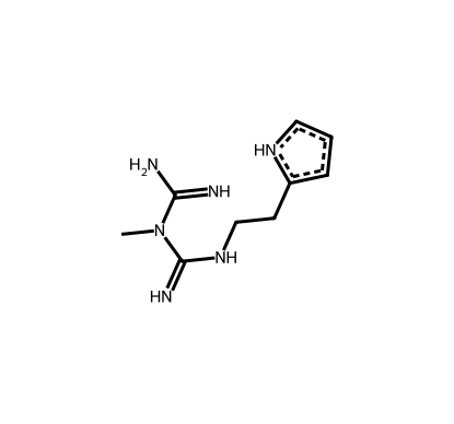 CN(C(=N)N)C(=N)NCCc1ccc[nH]1